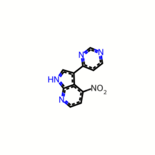 O=[N+]([O-])c1ccnc2[nH]cc(-c3ccncn3)c12